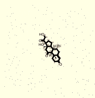 C[C@]12CCC(=O)C=C1CC[C@@H]1C3CC[C@](O)(C(=O)CO)[C@@]3(C)CC(=O)[C@H]12.[Pb]